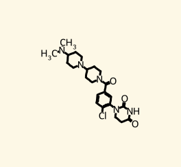 CN(C)C1CCN(C2CCN(C(=O)c3ccc(Cl)c(N4CCC(=O)NC4=O)c3)CC2)CC1